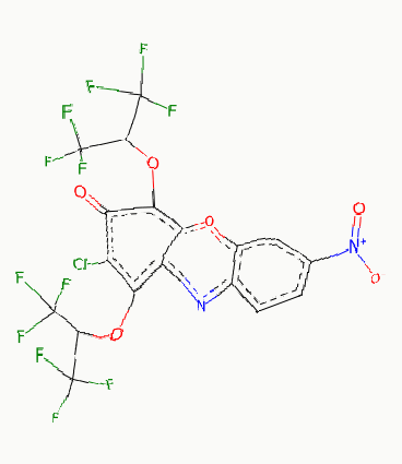 O=c1c(Cl)c(OC(C(F)(F)F)C(F)(F)F)c2nc3ccc([N+](=O)[O-])cc3oc-2c1OC(C(F)(F)F)C(F)(F)F